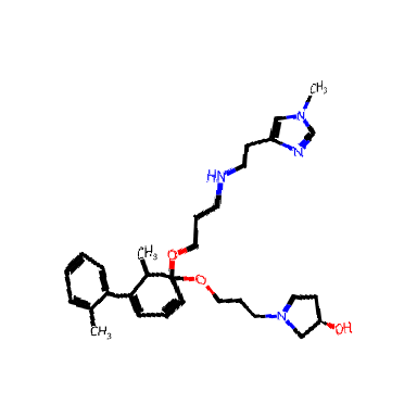 Cc1ccccc1C1=CC=CC(OCCCNCCc2cn(C)cn2)(OCCCN2CC[C@@H](O)C2)C1C